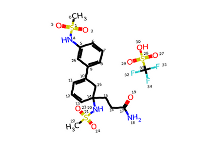 CS(=O)(=O)Nc1cccc(C2=CC=CC(CCC(N)=O)(NS(C)(=O)=O)C2)c1.O=S(=O)(O)C(F)(F)F